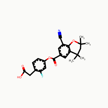 CC1(C)CC(C)(C)c2cc(C(=O)Oc3ccc(CC(=O)O)c(F)c3)cc(C#N)c2O1